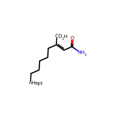 CCCCCCCCCCCCC(=CC(N)=O)C(=O)O